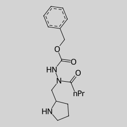 CCCC(=O)N(CC1CCCN1)NC(=O)OCc1ccccc1